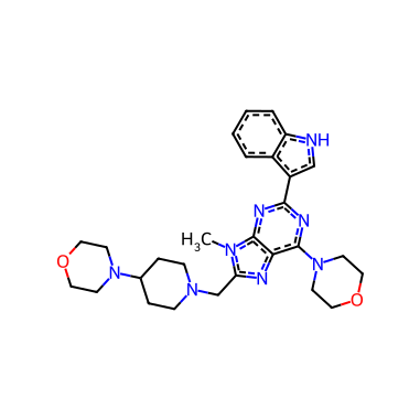 Cn1c(CN2CCC(N3CCOCC3)CC2)nc2c(N3CCOCC3)nc(-c3c[nH]c4ccccc34)nc21